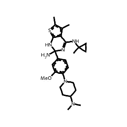 COc1cc(C2(N)N=C(NC3(C)CC3)c3c(sc(C)c3C)N2)ccc1N1CCC(N(C)C)CC1